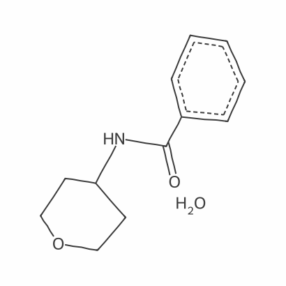 O.O=C(NC1CCOCC1)c1ccccc1